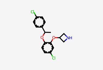 CC(Oc1ccc(Cl)cc1OC1CNC1)c1ccc(Cl)cc1